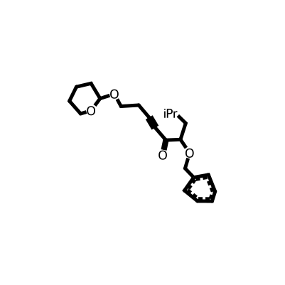 CC(C)CC(OCc1ccccc1)C(=O)C#CCCOC1CCCCO1